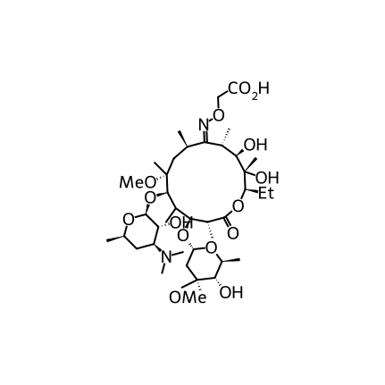 CC[C@H]1OC(=O)[C@H](C)[C@@H](O[C@H]2C[C@@](C)(OC)[C@@H](O)[C@H](C)O2)C(C)[C@@H](O[C@@H]2O[C@H](C)C[C@H](N(C)C)[C@H]2O)[C@](C)(OC)C[C@@H](C)/C(=N/OCC(=O)O)[C@H](C)[C@@H](O)[C@]1(C)O